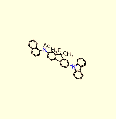 CC(=O)N(c1ccc2c(c1)C(C)(C)c1cc(-n3c4ccccc4c4ccccc43)ccc1-2)c1cccc2ccccc12